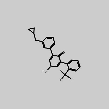 Cn1cc(-c2cccc(CC3CC3)c2)c(=O)c(-c2ccccc2C(F)(F)F)c1